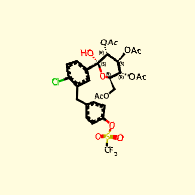 CC(=O)OC[C@H]1O[C@@](O)(c2ccc(Cl)c(Cc3ccc(OS(=O)(=O)C(F)(F)F)cc3)c2)[C@H](OC(C)=O)[C@@H](OC(C)=O)[C@@H]1OC(C)=O